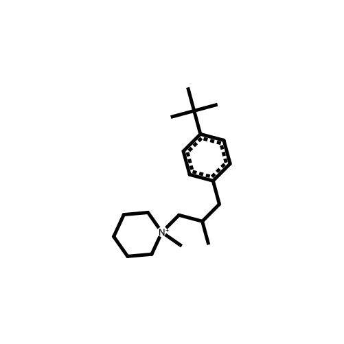 CC(Cc1ccc(C(C)(C)C)cc1)C[N+]1(C)CCCCC1